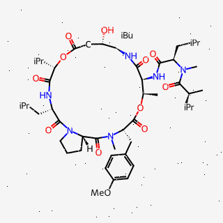 CC[C@H](C)[C@H]1NC(=O)[C@@H](NC(=O)[C@@H](CC(C)C)N(C)C(=O)[C@@H](C)C(C)C)[C@@H](C)OC(=O)[C@H](Cc2ccc(OC)cc2)N(C)C(=O)[C@@H]2CCCN2C(=O)[C@H](CC(C)C)NC(=O)[C@H](C(C)C)OC(=O)C[C@@H]1O